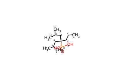 CCCC(CC(C)C)(CC(C)C)P(=O)(O)O